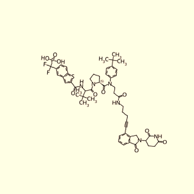 CC(C)(C)c1ccc(N(CCC(=O)NCCCC#Cc2cccc3c2CN(C2CCC(=O)NC2=O)C3=O)C(=O)[C@@H]2CCCN2C(=O)C(NC(=O)c2cc3cc(C(F)(F)P(=O)(O)O)ccc3s2)C(C)(C)C)cc1